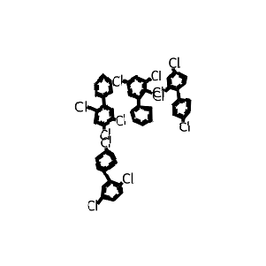 Clc1cc(Cl)c(-c2ccccc2)cc1Cl.Clc1cc(Cl)c(Cl)c(-c2ccccc2)c1.Clc1ccc(-c2cc(Cl)ccc2Cl)cc1.Clc1ccc(-c2ccc(Cl)cc2Cl)cc1